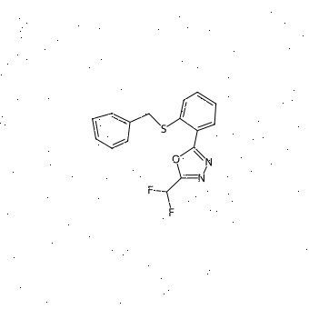 FC(F)c1nnc(-c2ccccc2SCc2ccccc2)o1